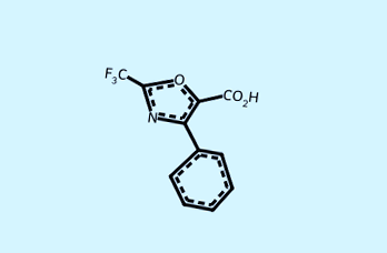 O=C(O)c1oc(C(F)(F)F)nc1-c1ccccc1